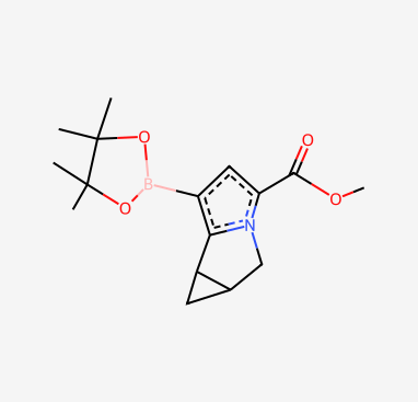 COC(=O)c1cc(B2OC(C)(C)C(C)(C)O2)c2n1CC1CC21